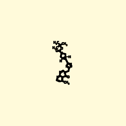 Cc1ccnc2ncn(Cc3nc(C4[C@H]5CN(C(=O)OC(C)(C)C)C[C@@H]45)no3)c(=O)c12